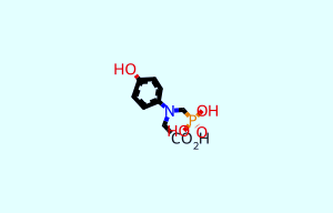 O=C(O)CN(CP(=O)(O)O)c1ccc(O)cc1